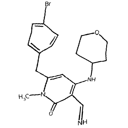 Cn1c(Cc2ccc(Br)cc2)cc(NC2CCOCC2)c(C=N)c1=O